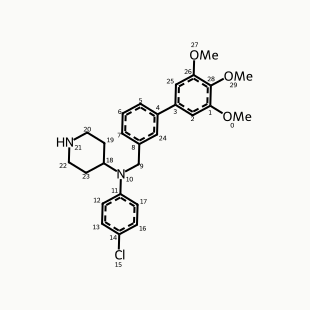 COc1cc(-c2cccc(CN(c3ccc(Cl)cc3)C3CCNCC3)c2)cc(OC)c1OC